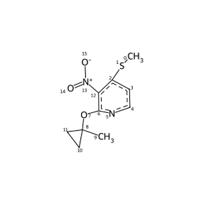 CSc1ccnc(OC2(C)CC2)c1[N+](=O)[O-]